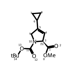 COC(=O)[C@@H]1C=C(C2CC2)CN1C(=O)OC(C)(C)C